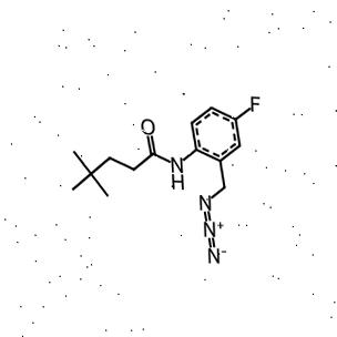 CC(C)(C)CCC(=O)Nc1ccc(F)cc1CN=[N+]=[N-]